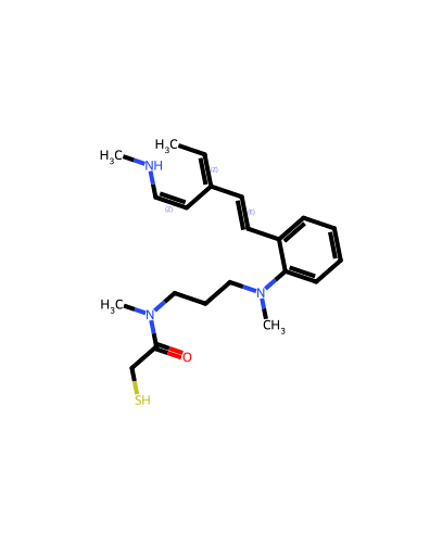 C/C=C(\C=C/NC)/C=C/c1ccccc1N(C)CCCN(C)C(=O)CS